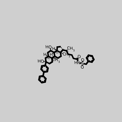 C[C@H](CCCC(=O)NS(=O)(=O)Cc1ccccc1)[C@H]1CC[C@H]2[C@@H]3[C@H](O)C[C@@H]4C[C@](O)(c5ccc(-c6ccccc6)cc5)CC[C@]4(C)[C@H]3CC[C@]12C